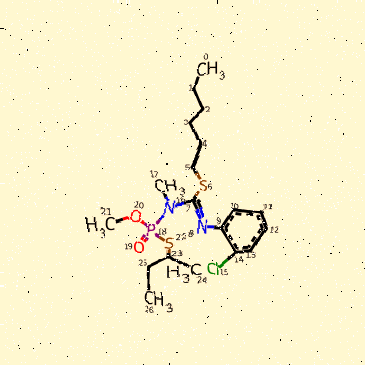 CCCCCCSC(=Nc1ccccc1Cl)N(C)P(=O)(OC)SC(C)CC